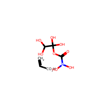 C=CC(=O)O.O=C(OC(O)(O)C(O)O)N(O)O